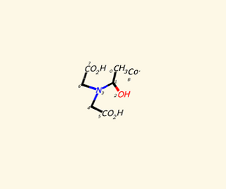 CC(O)N(CC(=O)O)CC(=O)O.[Co]